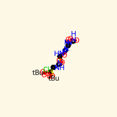 C[C@@H]1CN(C(=O)Nc2cccc(CS(=O)(=O)N3CC[C@H](Nc4cccc(-c5sc(C(=O)OC(C)(C)C)c(OCC(=O)OC(C)(C)C)c5Cl)c4)CC3(C)C)c2)CCN1c1ccc2c(c1)n(C)c(=O)n2C1CCC(=O)NC1=O